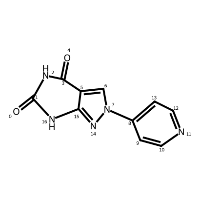 O=c1[nH]c(=O)c2cn(-c3ccncc3)nc2[nH]1